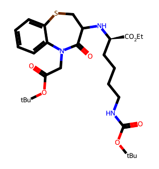 CCOC(=O)[C@@H](CCCCNC(=O)OC(C)(C)C)NC1CSc2ccccc2N(CC(=O)OC(C)(C)C)C1=O